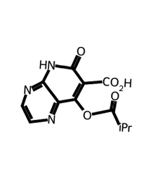 CC(C)C(=O)Oc1c(C(=O)O)c(=O)[nH]c2nccnc12